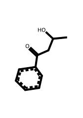 CC(O)CC(=O)c1ccccc1